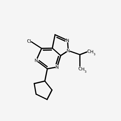 CC(C)n1ncc2c(Cl)nc(C3CCCC3)nc21